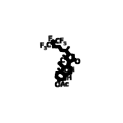 CC(=O)OC1CC[C@@]2(C)[C@@H](CCC3=C4C(=O)C[C@H]([C@H](C)CCCC(F)(C(F)(F)F)C(F)(F)F)[C@@]4(C)CC[C@@]32O)C1